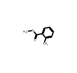 COC(=S)c1ccccc1C